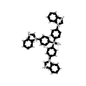 O=P(c1ccc(-n2cnc3ccccc32)cc1)(c1ccc(-n2cnc3ccccc32)cc1)c1ccc(-n2cnc3ccccc32)cc1